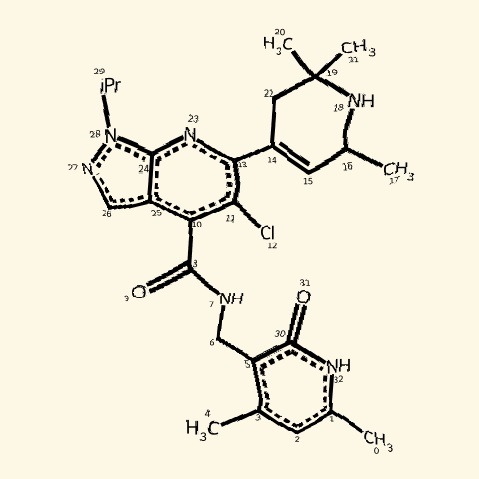 Cc1cc(C)c(CNC(=O)c2c(Cl)c(C3=CC(C)NC(C)(C)C3)nc3c2cnn3C(C)C)c(=O)[nH]1